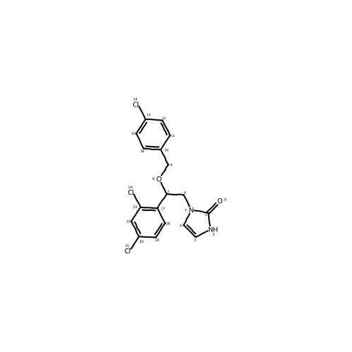 O=c1[nH]ccn1CC(OCc1ccc(Cl)cc1)c1ccc(Cl)cc1Cl